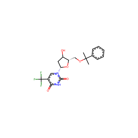 CC(C)(OC[C@@H]1O[C@H](n2cc(C(F)(F)F)c(=O)[nH]c2=O)CC1O)c1ccccc1